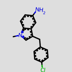 Cn1cc(Cc2ccc(Cl)cc2)c2cc(N)ccc21